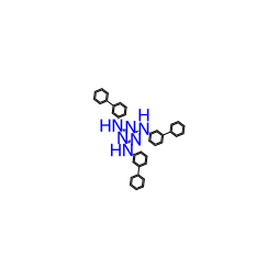 c1ccc(-c2cccc(Nc3nc(Nc4cccc(-c5ccccc5)c4)nc(Nc4cccc(-c5ccccc5)c4)n3)c2)cc1